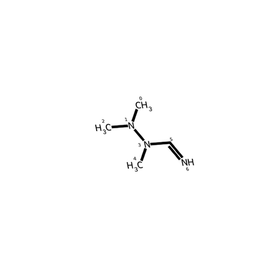 CN(C)N(C)C=N